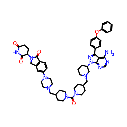 Nc1ncnc2c1c(-c1ccc(Oc3ccccc3)cc1)nn2[C@@H]1CCCN(CC2CCN(C(=O)N3CCC(CN4CCN(c5ccc6c(c5)CN(C5CCC(=O)NC5=O)C6=O)CC4)CC3)CC2)C1